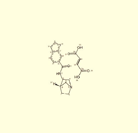 O=C(NC1CN2CC[C@H]1C2)c1ccc2ccoc2c1.O=C(O)/C=C/C(=O)O